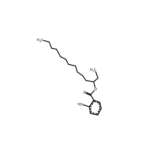 CCCCCCCCCCCC(CC)OC(=O)c1ccccc1O